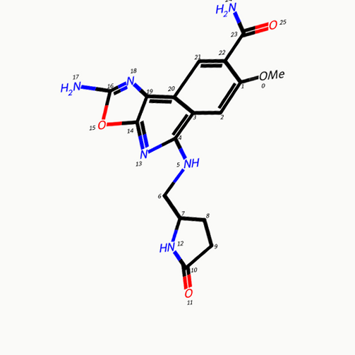 COc1cc2c(NCC3CCC(=O)N3)nc3oc(N)nc3c2cc1C(N)=O